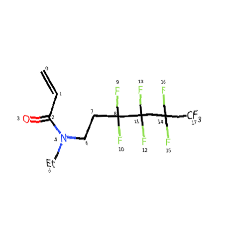 C=CC(=O)N(CC)CCC(F)(F)C(F)(F)C(F)(F)C(F)(F)F